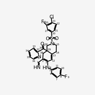 N=CC1=C(Nc2ccc(F)cc2)C=C2CCN(S(=O)(=O)c3ccc(Cl)c(F)c3)CC2(C(=O)c2ccccn2)C1